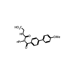 CCCN(C(=O)NCC(=O)O)C(=O)c1ccc(-c2ccc(OC)cc2)cc1